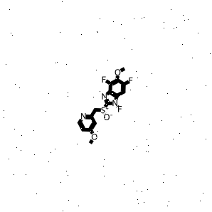 COc1ccnc(C[S+]([O-])c2nc3c(F)c(OC)c(F)cc3n2F)c1